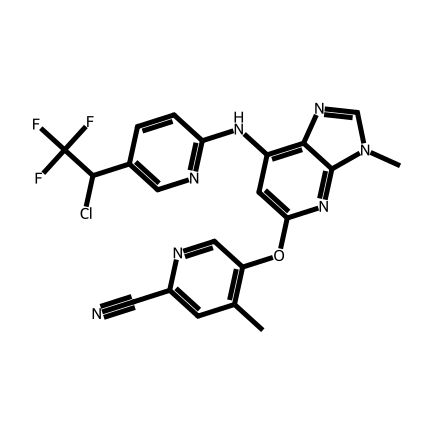 Cc1cc(C#N)ncc1Oc1cc(Nc2ccc(C(Cl)C(F)(F)F)cn2)c2ncn(C)c2n1